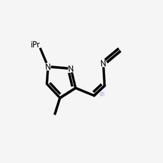 C=N/C=C\c1nn(C(C)C)cc1C